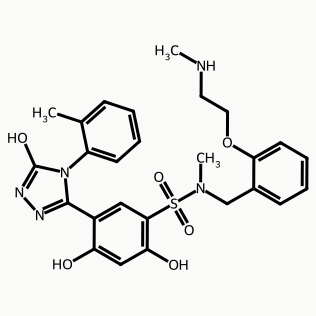 CNCCOc1ccccc1CN(C)S(=O)(=O)c1cc(-c2nnc(O)n2-c2ccccc2C)c(O)cc1O